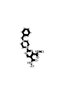 CCNC(=O)c1cnc(N2CCN(Cc3ccccc3)CC2)nc1C(=O)NCC